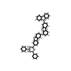 c1ccc(C2N=C(c3ccc4c(c3)sc3ccc(-c5cccc6c5oc5cc(C7c8ccccc8-c8ccccc87)ccc56)cc34)NC(c3ccccc3)N2)cc1